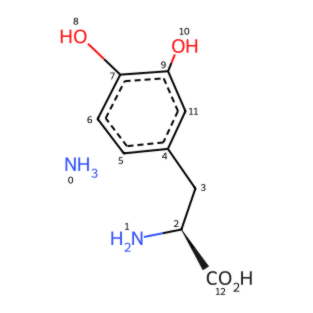 N.N[C@@H](Cc1ccc(O)c(O)c1)C(=O)O